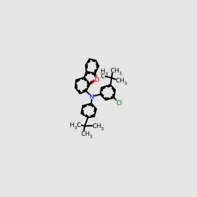 CC(C)(C)c1ccc(N(c2cc(Cl)cc(C(C)(C)C)c2)c2cccc3c2oc2ccccc23)cc1